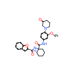 CC(C)Oc1cc(NC(=O)C2(NC(=O)c3cc4ccccc4o3)CCCCC2)ccc1N1CCCC(=O)C1